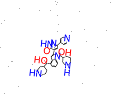 O=c1[nH]nc(-c2ccncc2)cc1-c1cc2c(C(O)C3CCCNCC3)cccc2n1C(O)C1CCCNCC1